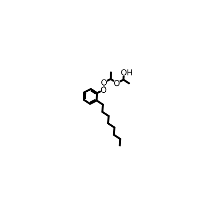 CCCCCCCCc1ccccc1OOC(C)OC(C)O